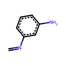 C=Nc1cccc(N)c1